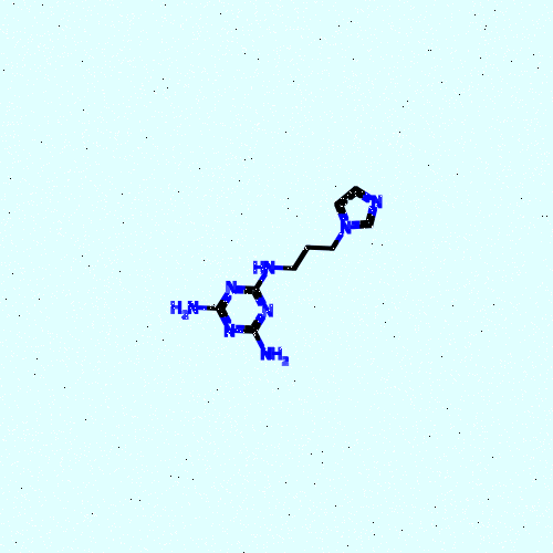 Nc1nc(N)nc(NCCCn2ccnc2)n1